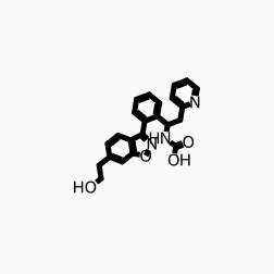 O=C(O)NC(Cc1ccccn1)c1ccccc1-c1noc2cc(CCO)ccc12